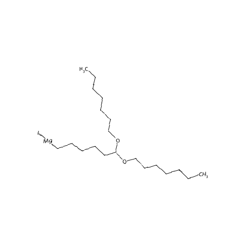 CCCCCCCOC(CCCC[CH2][Mg][I])OCCCCCCC